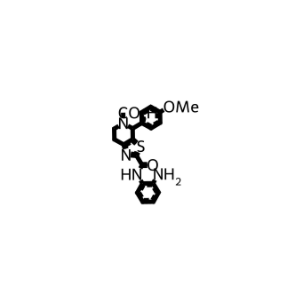 COc1ccc(C2c3sc(C(=O)Nc4ccccc4N)nc3CCN2C(=O)O)cc1